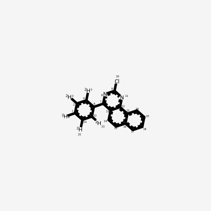 [2H]c1c([2H])c([2H])c(-c2nc(Cl)nc3c2ccc2ccccc23)c([2H])c1[2H]